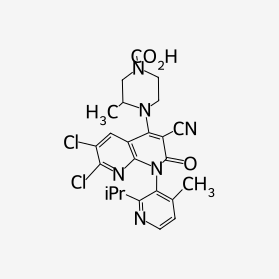 Cc1ccnc(C(C)C)c1-n1c(=O)c(C#N)c(N2CCN(C(=O)O)CC2C)c2cc(Cl)c(Cl)nc21